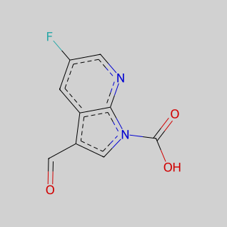 O=Cc1cn(C(=O)O)c2ncc(F)cc12